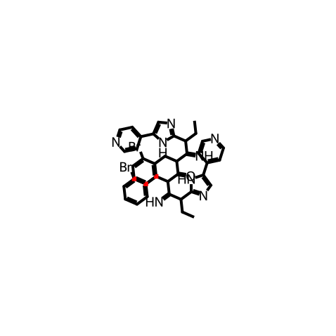 CCC(C(=N)C(Cc1ccccc1Br)C(=O)C(Cc1ccccc1Br)C(=N)C(CC)c1ncc(-c2ccncc2)[nH]1)c1ncc(-c2ccncc2)[nH]1